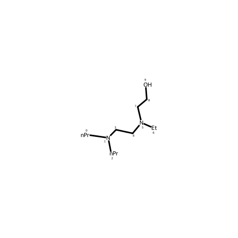 CCCN(CCC)CCN(CC)CCO